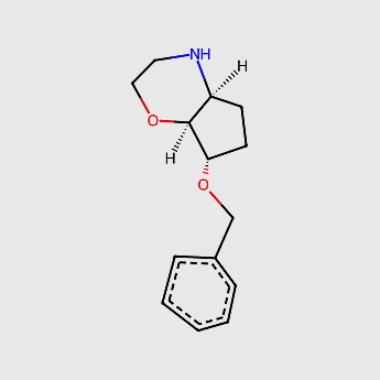 c1ccc(CO[C@H]2CC[C@@H]3NCCO[C@@H]32)cc1